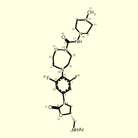 CC(=O)NC[C@H]1CN(c2cc(F)c(N3CCON(C(=O)NN4CCN(C)CC4)CC3)c(F)c2)C(=O)O1